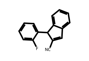 N#CC1=Cc2ccccc2C1c1ccccc1F